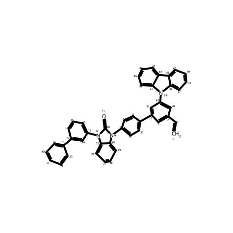 C=Cc1cc(-c2ccc(-n3c(=O)n(-c4cccc(-c5ccccc5)c4)c4ccccc43)cc2)cc(-n2c3ccccc3c3ccccc32)c1